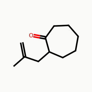 C=C(C)CC1CCCCCC1=O